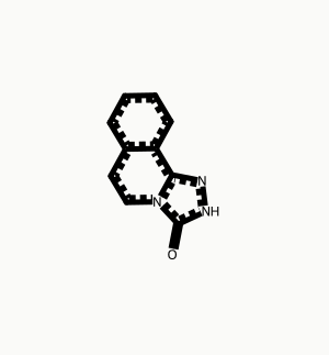 O=c1[nH]nc2c3ccccc3ccn12